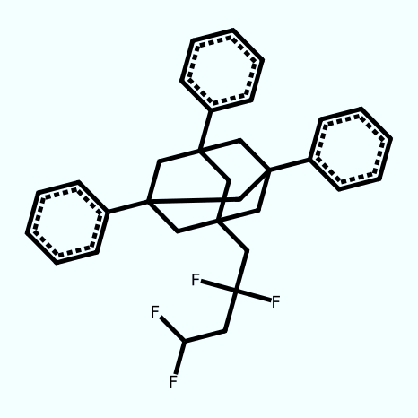 FC(F)CC(F)(F)CC12CC3(c4ccccc4)CC(c4ccccc4)(C1)CC(c1ccccc1)(C2)C3